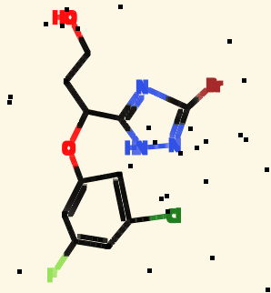 OCCC(Oc1cc(F)cc(Cl)c1)c1nc(Br)n[nH]1